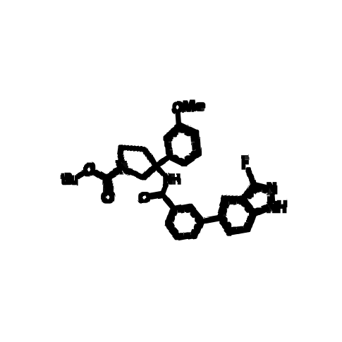 COc1cccc(C2(NC(=O)c3cccc(-c4ccc5[nH]nc(F)c5c4)c3)CCN(C(=O)OC(C)(C)C)C2)c1